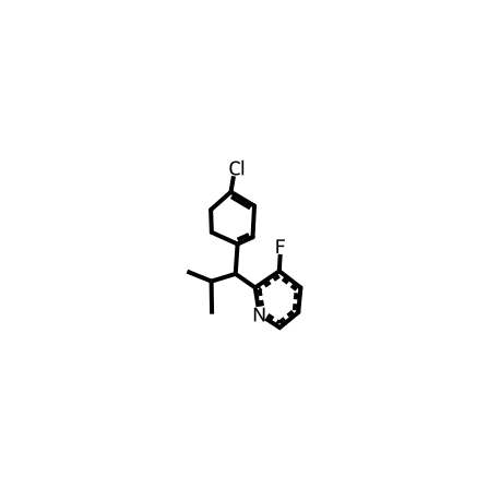 CC(C)C(C1=CC=C(Cl)CC1)c1ncccc1F